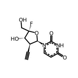 C#C[C@@H]1[C@H](n2ccc(=O)[nH]c2=O)O[C@](F)(CO)[C@H]1O